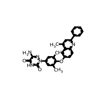 Cc1cc(-n2nc(N)c(=O)[nH]c2=O)cc(C)c1Oc1ccc2nc(-c3ccccc3)cc(C)c2c1